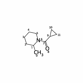 CC1CCCCN1C(=O)C1CC1